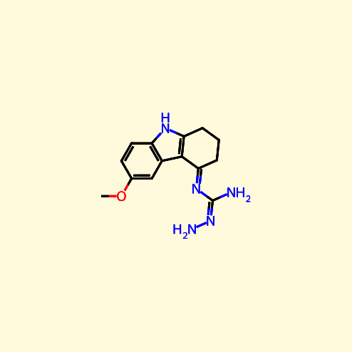 COc1ccc2[nH]c3c(c2c1)/C(=N/C(N)=N\N)CCC3